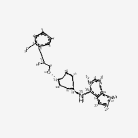 Fc1ccccc1C(F)CO[C@H]1CC[C@H](Nc2ncnc3[nH]ncc23)CC1